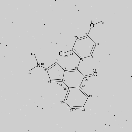 COc1ccc(C2=C3C=C(N(C)C)C=C3c3ccccc3C2=O)c(Cl)c1